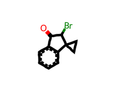 O=C1c2ccccc2C2(CC2)C1Br